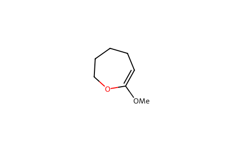 COC1=CCCCCO1